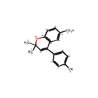 CC1(C)C=C(c2ccc(C#N)cc2)c2cc(C(=O)O)ccc2O1